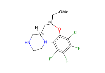 COC[C@@H]1C[C@@H]2CNCCN2c2c(F)c(F)c(F)c(Cl)c2O1